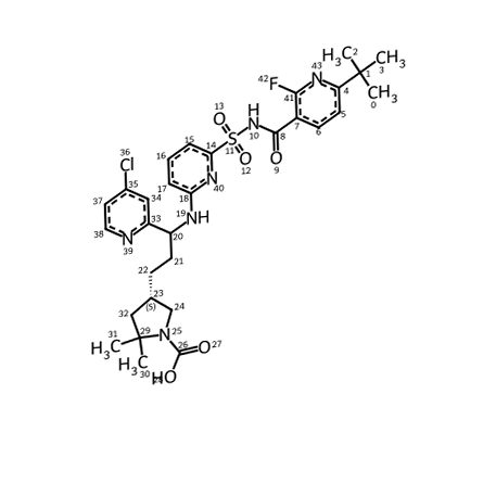 CC(C)(C)c1ccc(C(=O)NS(=O)(=O)c2cccc(NC(CC[C@@H]3CN(C(=O)O)C(C)(C)C3)c3cc(Cl)ccn3)n2)c(F)n1